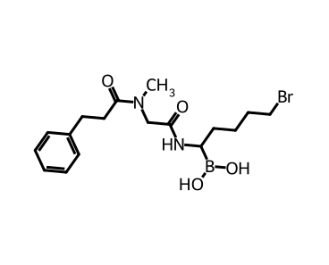 CN(CC(=O)NC(CCCCBr)B(O)O)C(=O)CCc1ccccc1